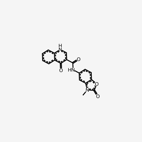 Cn1c(=O)oc2ccc(NC(=O)c3c[nH]c4ccccc4c3=O)cc21